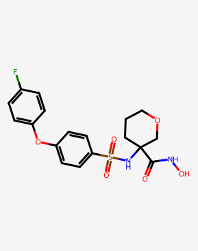 O=C(NO)C1(NS(=O)(=O)c2ccc(Oc3ccc(F)cc3)cc2)CCCOC1